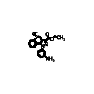 CCOC(=O)c1nn(-c2cccc(N)c2)c2c1C[S+]([O-])c1ccccc1-2